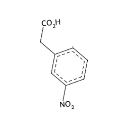 O=C(O)Cc1[c]ccc([N+](=O)[O-])c1